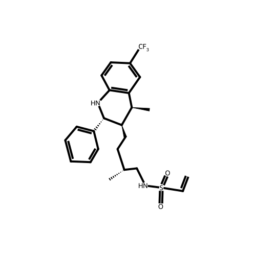 C=CS(=O)(=O)NC[C@H](C)CC[C@@H]1[C@H](C)c2cc(C(F)(F)F)ccc2N[C@H]1c1ccccc1